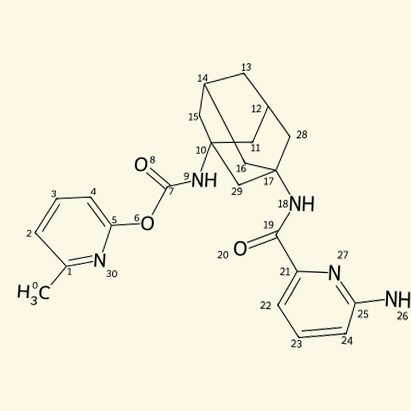 Cc1cccc(OC(=O)NC23CC4CC(C2)CC(NC(=O)c2cccc(N)n2)(C4)C3)n1